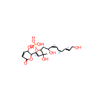 CC(O)(/C=C/C1OC(=O)C=CC1O)C(CC(O)\C=C/C=C\C=C\CO)OP(=O)(O)O